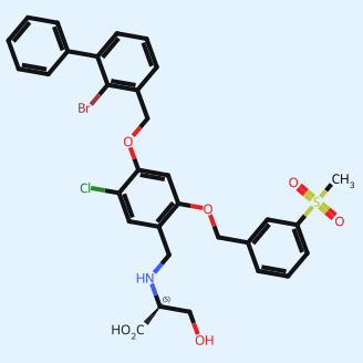 CS(=O)(=O)c1cccc(COc2cc(OCc3cccc(-c4ccccc4)c3Br)c(Cl)cc2CN[C@@H](CO)C(=O)O)c1